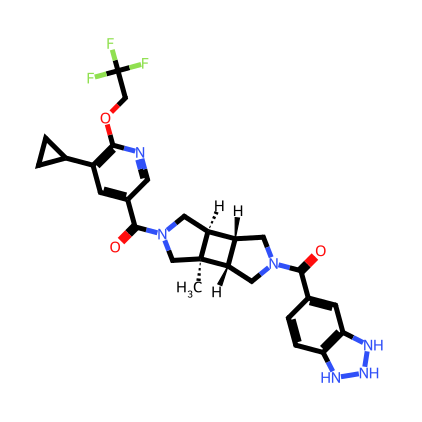 C[C@]12CN(C(=O)c3cnc(OCC(F)(F)F)c(C4CC4)c3)C[C@H]1[C@@H]1CN(C(=O)c3ccc4c(c3)NNN4)C[C@@H]12